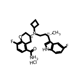 C[C@@H](CCN(C1CCC1)[C@H]1COc2c(F)ccc(C(N)=O)c2C1)c1c[nH]c2ccc(F)cc12.Cl